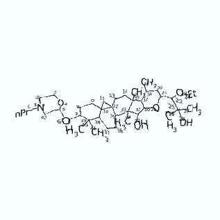 CCCN1CCOC(OC2CCC34CC35CCC3(C)C6C(C)CC(C(OCC)C(C)(C)O)OC6C(O)C3(C)C5CCC4C2(C)C)C1